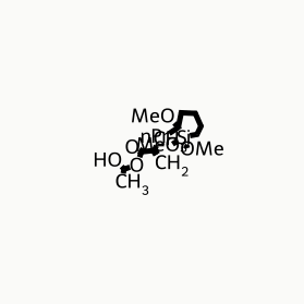 C=C(C)C(=O)OC(C)O.CCCC1(OC)CCCC[Si]1(OC)OC